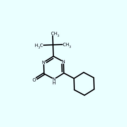 CC(C)(C)c1nc(C2CCCCC2)[nH]c(=O)n1